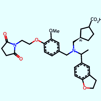 COc1cc(CN(C[C@@H]2CCC(C(=O)O)C2)C(C)c2ccc3c(c2)CCO3)ccc1OCCN1C(=O)CCC1=O